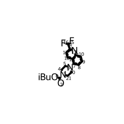 CC(C)COC(=O)N1CCN(c2cccc3nc(C(F)F)ccc23)CC1